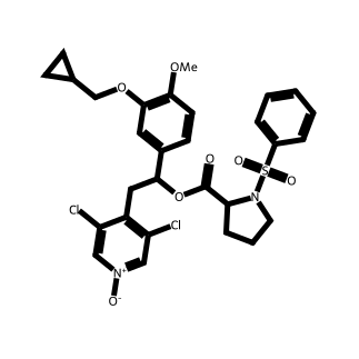 COc1ccc(C(Cc2c(Cl)c[n+]([O-])cc2Cl)OC(=O)C2CCCN2S(=O)(=O)c2ccccc2)cc1OCC1CC1